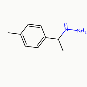 Cc1ccc(C(C)NN)cc1